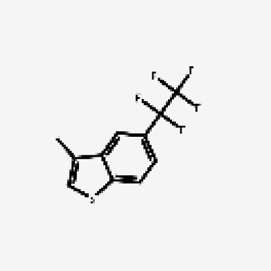 Cc1[c]sc2ccc(C(F)(F)C(F)(F)F)cc12